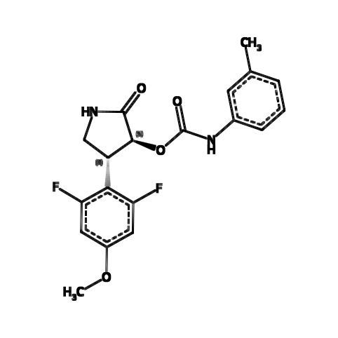 COc1cc(F)c([C@@H]2CNC(=O)[C@H]2OC(=O)Nc2cccc(C)c2)c(F)c1